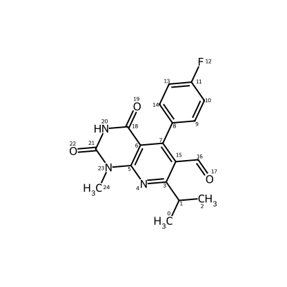 CC(C)c1nc2c(c(-c3ccc(F)cc3)c1C=O)c(=O)[nH]c(=O)n2C